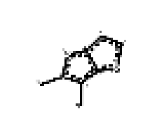 Cc1sc2ccsc2c1C